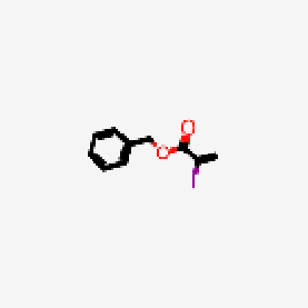 C=C(I)C(=O)OCc1ccccc1